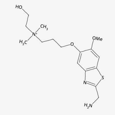 COc1cc2sc(CN)nc2cc1OCCC[N+](C)(C)CCO